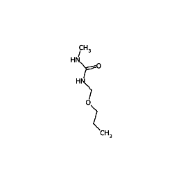 CCCOCNC(=O)NC